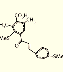 CSc1ccc(C=CC(=O)c2cc(C)c(C(=O)O)c(C)c2SC)cc1